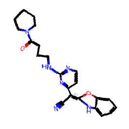 N#C/C(=C1\Nc2ccccc2O1)c1ccnc(NCCCC(=O)N2CCCCC2)n1